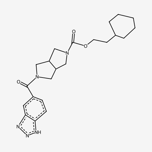 O=C(OCCC1CCCCC1)N1CC2CN(C(=O)c3ccc4[nH]nnc4c3)CC2C1